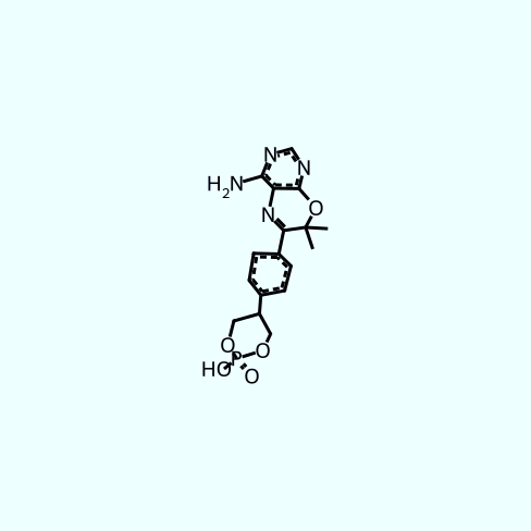 CC1(C)Oc2ncnc(N)c2N=C1c1ccc(C2COP(=O)(O)OC2)cc1